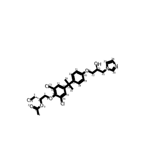 CC(=O)O[C@H](CCl)COc1c(Cl)cc(C(C)(C)c2ccc(OC[C@@H](O)Cn3ccnc3)cc2)cc1Cl